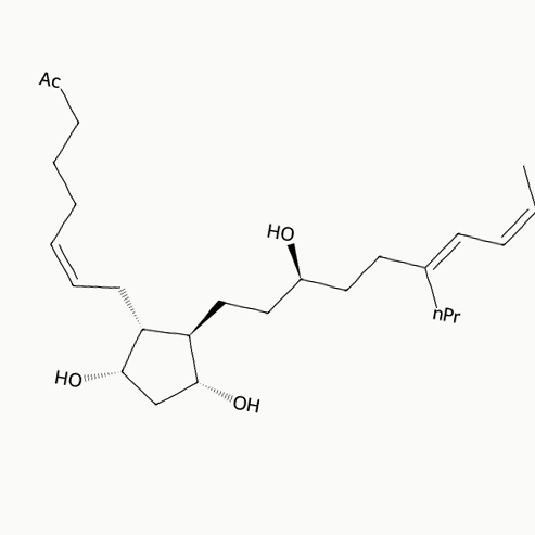 C/C=C\C=C(/CCC)CC[C@H](O)CC[C@@H]1[C@@H](C/C=C\CCCC(C)=O)[C@@H](O)C[C@H]1O